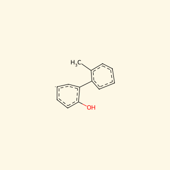 Cc1ccccc1-c1c[c]ccc1O